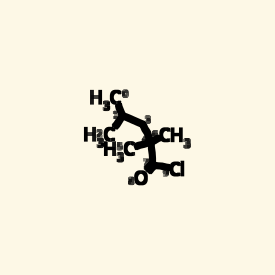 CC(C)CC(C)(C)C(=O)Cl